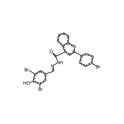 O=C(NN=Cc1cc(Br)c(O)c(Br)c1)c1cc(-c2ccc(Br)cc2)nc2ccccc12